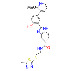 COc1ncccc1-c1ccc(O)c(-c2nc3cc(C(=O)NCCSc4nnc(C)s4)ccc3[nH]2)c1